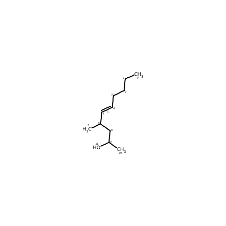 CCCC/C=C/C(C)CC(C)O